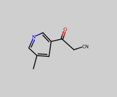 Cc1cncc(C(=O)CC#N)c1